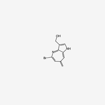 C=C1C=C(Br)N=c2c(CO)c[nH]c2=C1